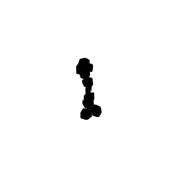 CC1(C)c2cccc3ccc4cc(-c5ccc(/C=C/c6ccc7cc(N(c8ccccc8)c8ccccc8)ccc7c6)cc5)cc1c4c23